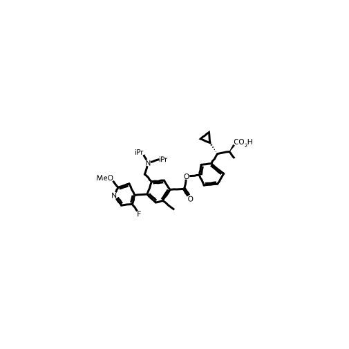 COc1cc(-c2cc(C)c(C(=O)Oc3cccc([C@H](C4CC4)[C@H](C)C(=O)O)c3)cc2CN(C(C)C)C(C)C)c(F)cn1